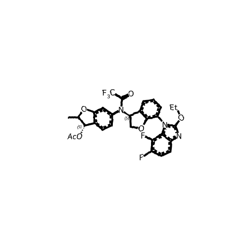 CCOc1nc2ccc(F)c(F)c2n1-c1cccc2c1OC[C@H]2N(C(=O)C(F)(F)F)c1ccc2c(c1)OC(C)[C@H]2OC(C)=O